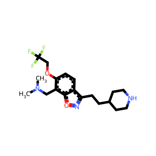 CN(C)Cc1c(OCC(F)(F)F)ccc2c(CCC3CCNCC3)noc12